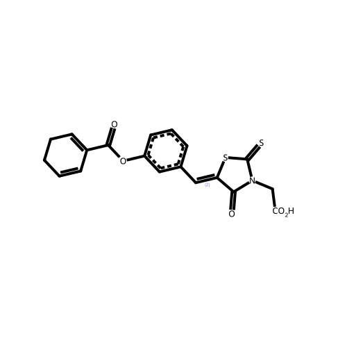 O=C(O)CN1C(=O)/C(=C/c2cccc(OC(=O)C3=CCCC=C3)c2)SC1=S